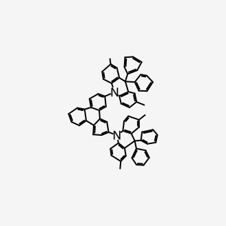 Cc1ccc2c(c1)C(c1ccccc1)(c1ccccc1)c1cc(C)ccc1N2c1ccc2c3ccccc3c3ccc(N4c5ccc(C)cc5C(c5ccccc5)(c5ccccc5)c5cc(C)ccc54)cc3c2c1